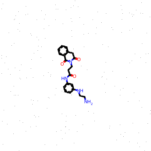 NCCNc1cccc(NC(=O)CCN2C(=O)Cc3ccccc3C2=O)c1